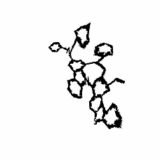 C=Cc1cc2c(ccc3sc4ccccc4c32)c2c1C=C(c1ccccc1)c1cc(N(c3ccccc3)c3ccccc3)cc3c4ccccc4n-2c13